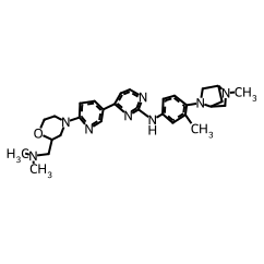 Cc1cc(Nc2nccc(-c3ccc(N4CCOC(CN(C)C)C4)nc3)n2)ccc1N1CC2CC1CN2C